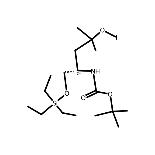 CC[Si](CC)(CC)OC[C@H](CC(C)(C)OI)NC(=O)OC(C)(C)C